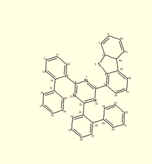 C1=CC2Sc3c(-c4nc(-c5ccccc5-c5ccccc5)nc(-c5ccccc5-c5ccccc5)n4)cccc3C2C=C1